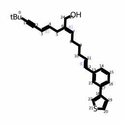 CC(C)(C)C#C/C=C/C/C(=C\CCC/C=C/c1cccc(-c2ccsc2)c1)CO